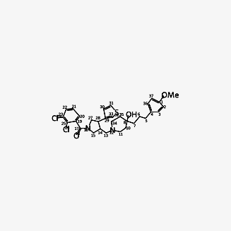 COc1ccc(CCCC2(O)CCN(CC3CN(C(=O)c4cccc(Cl)c4Cl)CC3c3ccsc3)CC2)cc1